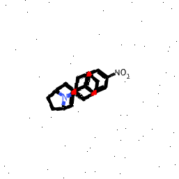 O=[N+]([O-])c1ccc(C2=CC3CCC(C2)N3C2CCCCC2)cc1